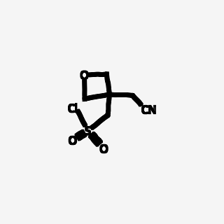 N#CCC1(CS(=O)(=O)Cl)COC1